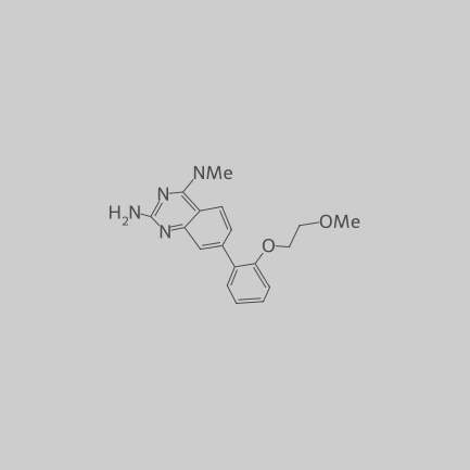 CNc1nc(N)nc2cc(-c3ccccc3OCCOC)ccc12